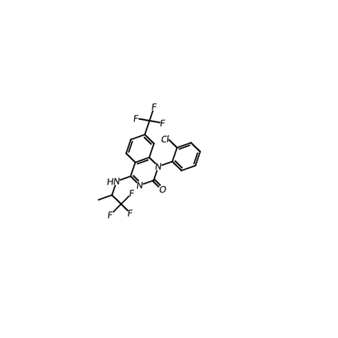 CC(Nc1nc(=O)n(-c2ccccc2Cl)c2cc(C(F)(F)F)ccc12)C(F)(F)F